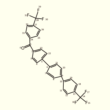 O=C(c1ccc(-c2ccc(-c3ccc(C(F)(F)F)cc3)cc2)cc1)c1ccc(C(F)(F)F)cc1